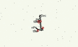 CCCC#CC(CC[C@H]1CCC(=O)C1CCCCCCC(=O)OC(CCCCCCCCCCCCCC)C(CC)OC(C)(C)C)OC(C)(C)C